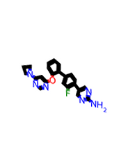 Nc1ncc(-c2ccc(-c3ccccc3Oc3cc(N4CCC4)ncn3)cc2F)cn1